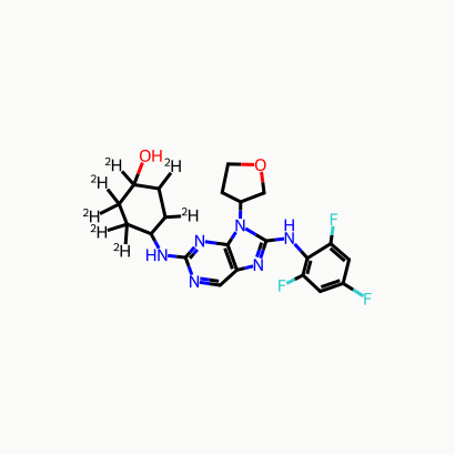 [2H]C1C(Nc2ncc3nc(Nc4c(F)cc(F)cc4F)n(C4CCOC4)c3n2)C([2H])([2H])C([2H])([2H])C([2H])(O)C1[2H]